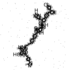 Cc1ncsc1-c1ccc(CNC(=O)[C@@H]2C[C@@H](O)CN2C(=O)[C@@H](NC(=O)CCCCN2CCC(N3CCC(CNc4ccc(S(=O)(=O)NC(=O)c5ccc(N6CCN(CC7=C(c8ccc(Cl)cc8)CC(C)(C)CC7)CC6)cc5Oc5cnc6[nH]ccc6c5)cc4[N+](=O)[O-])CC3)CC2)C(C)(C)C)cc1